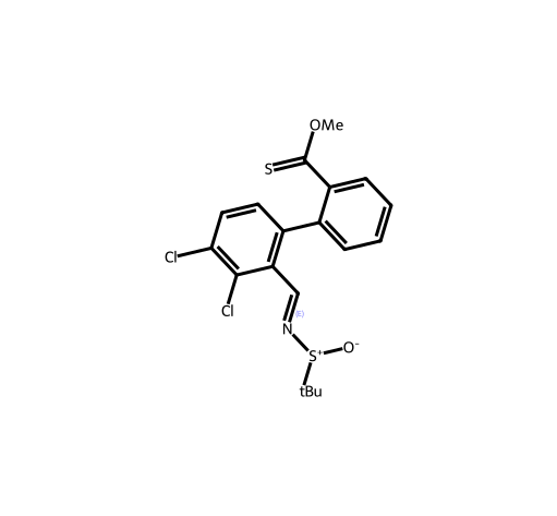 COC(=S)c1ccccc1-c1ccc(Cl)c(Cl)c1/C=N/[S+]([O-])C(C)(C)C